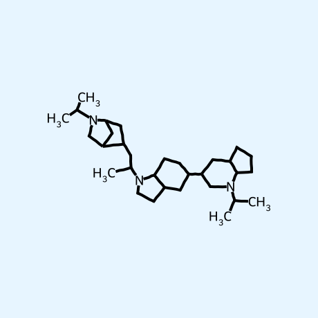 CC(C)N1CC2CC1CC2CC(C)N1CCC2CC(C3CC4CCCC4N(C(C)C)C3)CCC21